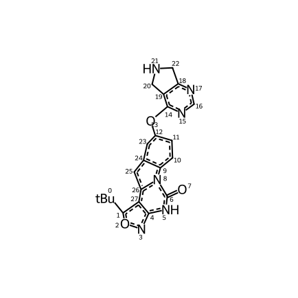 CC(C)(C)c1onc2[nH]c(=O)n3c4ccc(Oc5ncnc6c5CNC6)cc4cc3c12